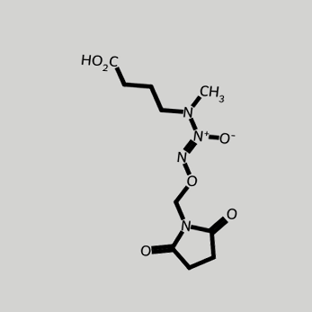 CN(CCCC(=O)O)/[N+]([O-])=N/OCN1C(=O)CCC1=O